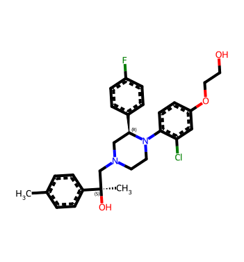 Cc1ccc([C@](C)(O)CN2CCN(c3ccc(OCCO)cc3Cl)[C@H](c3ccc(F)cc3)C2)cc1